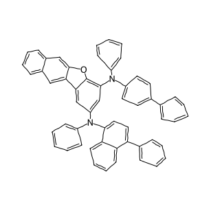 c1ccc(-c2ccc(N(c3ccccc3)c3cc(N(c4ccccc4)c4ccc(-c5ccccc5)c5ccccc45)cc4c3oc3cc5ccccc5cc34)cc2)cc1